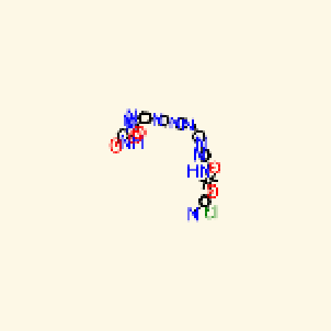 CC1(C)C(NC(=O)c2ccc(N3CCC(CN4CCN(C5CCN(c6ccc7nnn(C8CCC(=O)NC8=O)c(=O)c7c6)CC5)CC4)CC3)nc2)C(C)(C)C1Oc1ccc(C#N)c(Cl)c1